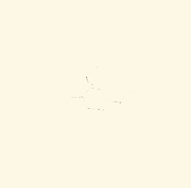 COC[C@H]1CN(BC=O)[C@H](C)CN1CC(=O)O